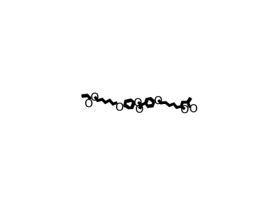 C=CC(=O)OCCCCCCOc1ccc(OC(=O)c2ccc(OCCCCCC3CC(=C)C(=O)O3)cc2)cc1